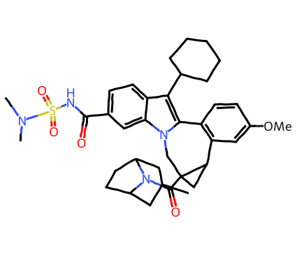 COc1ccc2c(c1)C1CC1(C(=O)N1C3CCC1CC(C)C3)Cn1c-2c(C2CCCCC2)c2ccc(C(=O)NS(=O)(=O)N(C)C)cc21